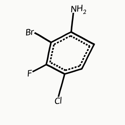 Nc1ccc(Cl)c(F)c1Br